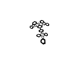 c1ccc(N2c3ccccc3N(c3ccc(-c4cc5c6c(c4)-n4c7ccccc7c7cccc(c74)B6c4cccc6c7ccccc7n-5c46)cc3)c3ccccc32)cc1